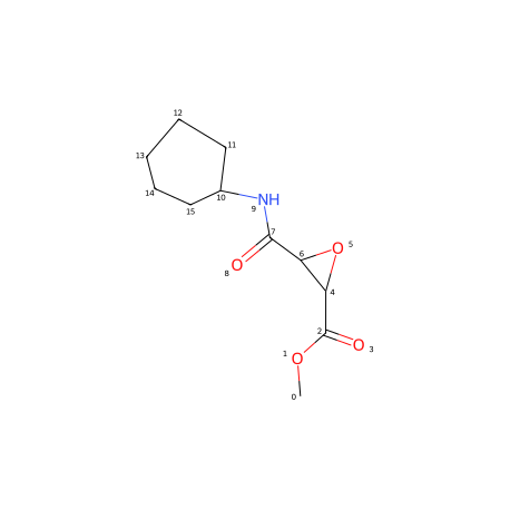 COC(=O)C1OC1C(=O)NC1CCCCC1